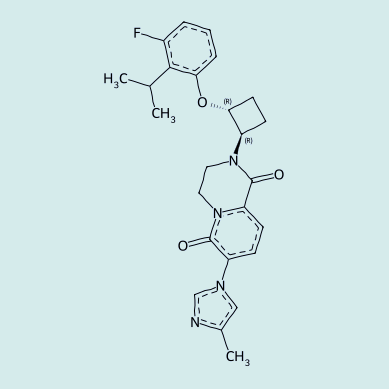 Cc1cn(-c2ccc3n(c2=O)CCN([C@@H]2CC[C@H]2Oc2cccc(F)c2C(C)C)C3=O)cn1